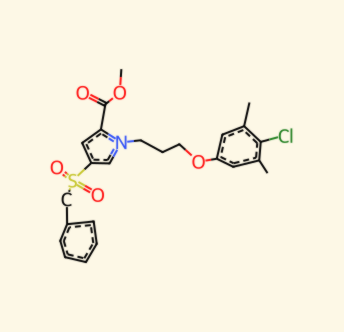 COC(=O)c1cc(S(=O)(=O)Cc2ccccc2)cn1CCCOc1cc(C)c(Cl)c(C)c1